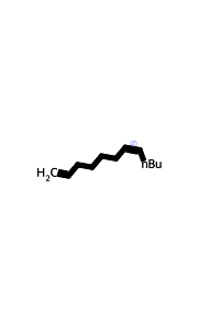 C=CCCCC/C=C\CCCC